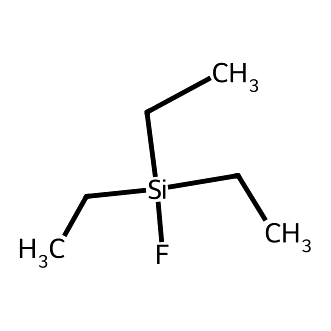 CC[Si](F)(CC)CC